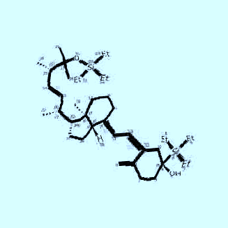 C=C1CC[C@@](O)([Si](CC)(CC)CC)C/C1=C/C=C1\CCC[C@]2(C)[C@@H]([C@H](C)/C=C/[C@H](C)C(C)(C)O[Si](CC)(CC)CC)CC[C@@H]12